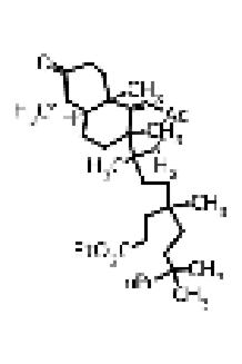 CCCC(C)(C)CC[C@](C)(CCC(=O)OCC)CCC(C)(C)[C@]1(C)CC[C@H]2[C@H](C)C(=O)CC[C@]2(C)/C1=C/C(C)=O